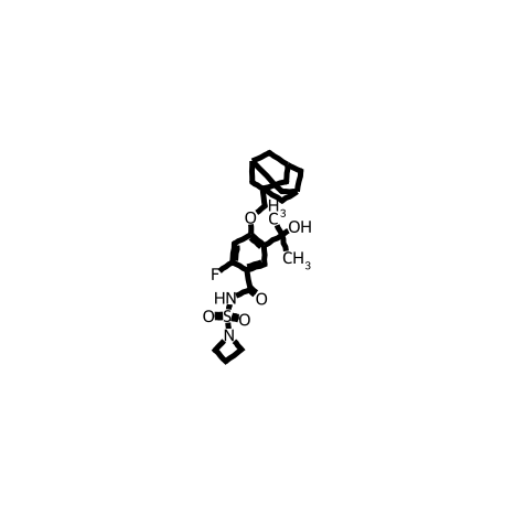 CC(C)(O)c1cc(C(=O)NS(=O)(=O)N2CCC2)c(F)cc1OCC12CC3CC(CC(C3)C1)C2